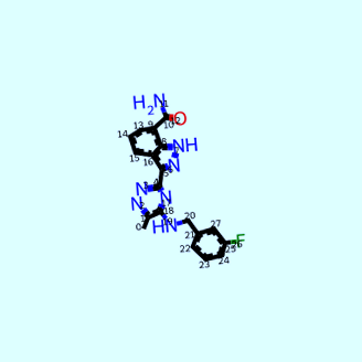 Cc1nnc(-c2n[nH]c3c(C(N)=O)cccc23)nc1NCc1cccc(F)c1